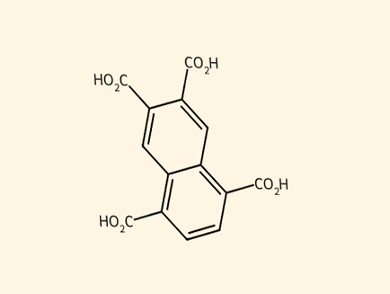 O=C(O)c1cc2c(C(=O)O)ccc(C(=O)O)c2cc1C(=O)O